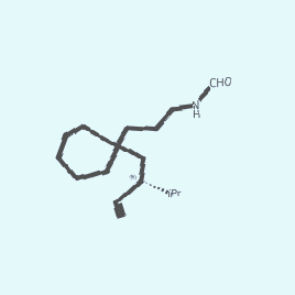 C=C[C@H](CC1(CCCNC=O)CCCCC1)C(C)C